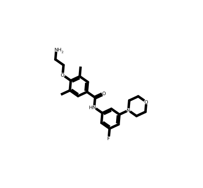 Cc1cc(C(=O)Nc2cc(F)cc(N3CCOCC3)c2)cc(C)c1OCCN